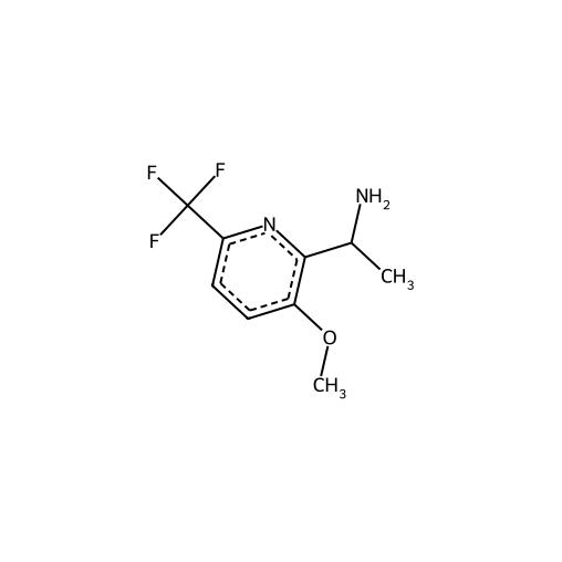 COc1ccc(C(F)(F)F)nc1C(C)N